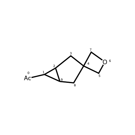 CC(=O)C1C2CC3(COC3)CC21